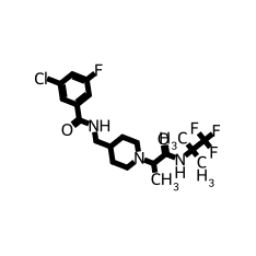 CC(C(=O)NC(C)(C)C(F)(F)F)N1CCC(CNC(=O)c2cc(F)cc(Cl)c2)CC1